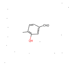 Cc1ccc(C=O)cc1O